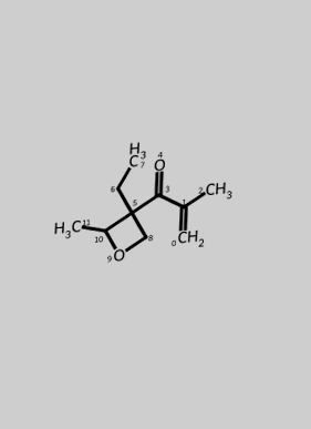 C=C(C)C(=O)C1(CC)COC1C